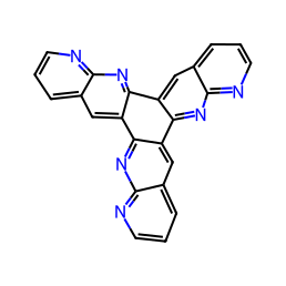 c1cnc2nc3c4cc5cccnc5nc4c4cc5cccnc5nc4c3cc2c1